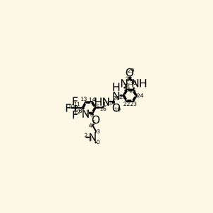 CN(C)CCOc1nc(C(F)(F)F)ccc1CNC(=O)Nc1cccc2c1[N]C(=O)N2